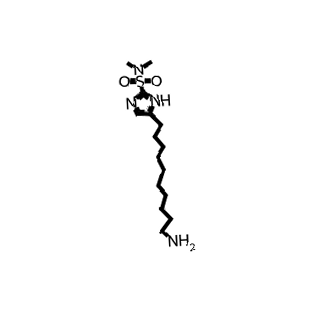 CN(C)S(=O)(=O)c1ncc(CCCCCCCCCCN)[nH]1